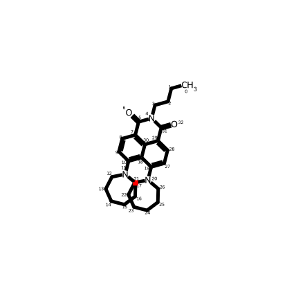 CCCCN1C(=O)c2ccc(N3CCCCCC3)c3c(N4CCCCCC4)ccc(c23)C1=O